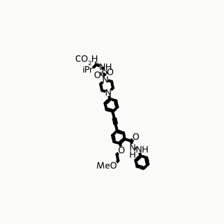 COCCOc1ccc(C#Cc2ccc(N3CCN(S(=O)(=O)N[C@@H](C(=O)O)C(C)C)CC3)cc2)cc1C(=O)NNc1ccccc1